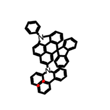 c1ccc(-c2ccccc2N(c2ccccc2)c2cc3c4c(ccc5c4c4c(cccc4n5-c4ccccc4)C34c3ccccc3-c3ccccc34)c2)cc1